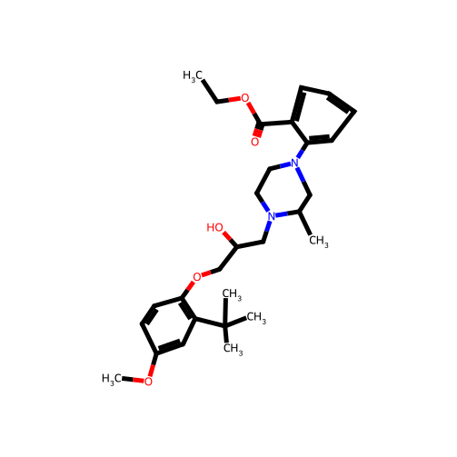 CCOC(=O)c1ccccc1N1CCN(CC(O)COc2ccc(OC)cc2C(C)(C)C)C(C)C1